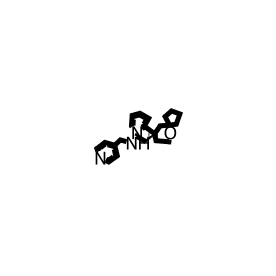 c1ccc([C@@]2(CCNCc3ccncc3)CCOC3(CCCC3)C2)nc1